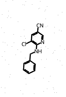 N#Cc1cnc(NCc2ccccc2)c(Cl)c1